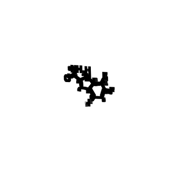 NC(=O)c1cc2c(F)cc(F)c(F)c2[nH]1